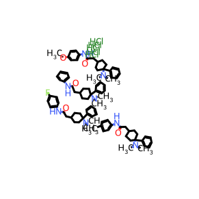 CN(C)C1(c2ccccc2)CCC(CC(=O)Nc2ccc(F)cc2)CC1.CN(C)C1(c2ccccc2)CCC(CC(=O)Nc2ccccc2)CC1.COc1ccc(NC(=O)CC2CCC(c3ccccc3)(N(C)C)CC2)cc1.Cc1ccc(NC(=O)CC2CCC(c3ccccc3)(N(C)C)CC2)cc1.Cl.Cl.Cl.Cl.Cl